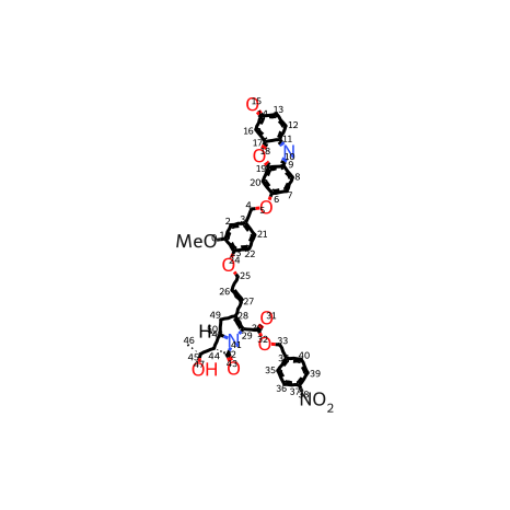 COc1cc(COc2ccc3nc4ccc(=O)cc-4oc3c2)ccc1OC/C=C/C1=C(C(=O)OCc2ccc([N+](=O)[O-])cc2)N2C(=O)[C@H]([C@@H](C)O)[C@H]2C1